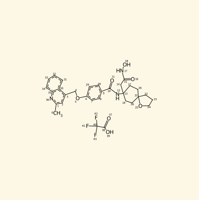 Cc1cc(COc2ccc(C(=O)NC3(CC(=O)NO)CCC4(CCCO4)CC3)cc2)c2ccccc2n1.O=C(O)C(F)(F)F